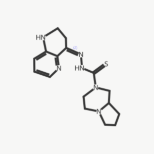 S=C(N/N=C1/CCNc2cccnc21)N1CCN2CCCC2C1